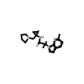 Cc1ccc2ccn(C(C)(C)C(=O)NC3(CN4CCCC4)CC3)c2n1